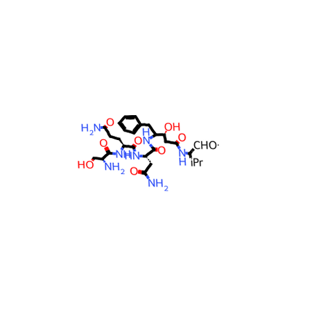 CC(C)C([C]=O)NC(=O)C[C@@H](O)C(Cc1ccccc1)NC(=O)[C@H](CC(N)=O)NC(=O)[C@H](CCC(N)=O)NC(=O)[C@@H](N)CO